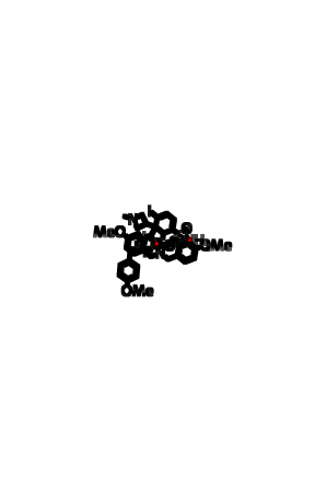 COc1ccc(CN(Cc2ccc(OC)cc2)S(=O)(=O)C2C(S(N)(=O)=O)=CC=C(I)C2(c2nnn(Cc3ccc(OC)cc3)n2)C2CN(C)C2)cc1